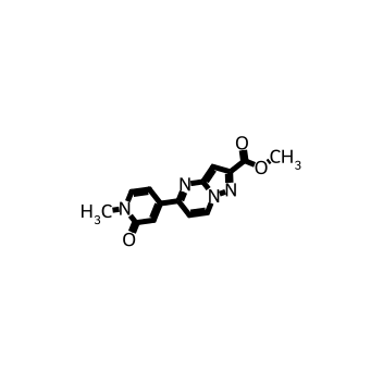 COC(=O)c1cc2nc(-c3ccn(C)c(=O)c3)ccn2n1